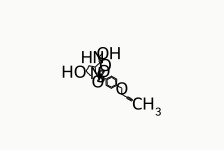 CC#CCOc1ccc(S(=O)(=O)N2CC(O)CC2C(=O)NO)cc1